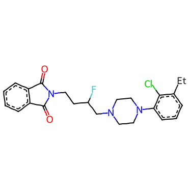 CCc1cccc(N2CCN(CC(F)CCN3C(=O)c4ccccc4C3=O)CC2)c1Cl